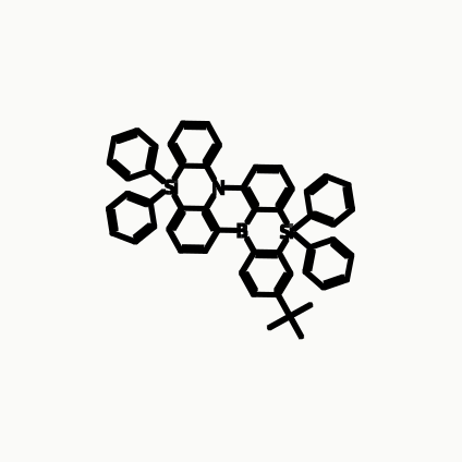 CC(C)(C)c1ccc2c(c1)[Si](c1ccccc1)(c1ccccc1)c1cccc3c1B2c1cccc2c1N3c1ccccc1[Si]2(c1ccccc1)c1ccccc1